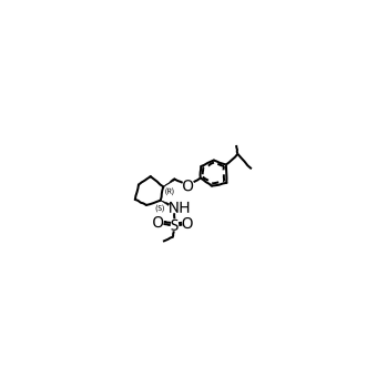 CCS(=O)(=O)N[C@H]1CCCC[C@H]1COc1ccc(C(C)C)cc1